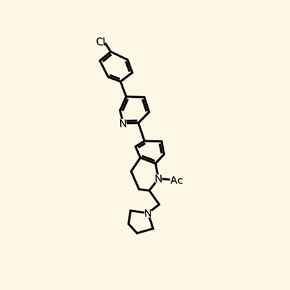 CC(=O)N1c2ccc(-c3ccc(-c4ccc(Cl)cc4)cn3)cc2CCC1CN1CCCC1